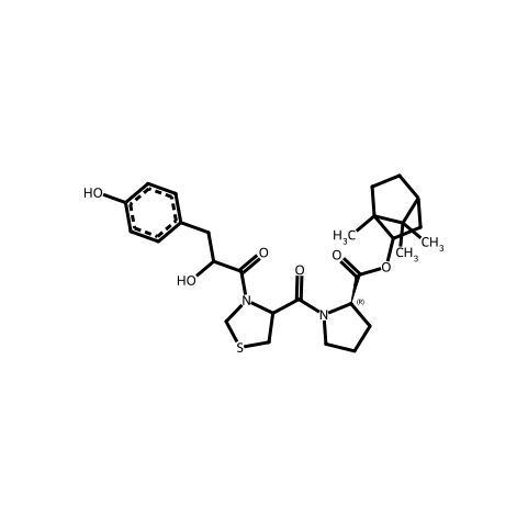 CC1(C)C2CCC1(C)C(OC(=O)[C@H]1CCCN1C(=O)C1CSCN1C(=O)C(O)Cc1ccc(O)cc1)C2